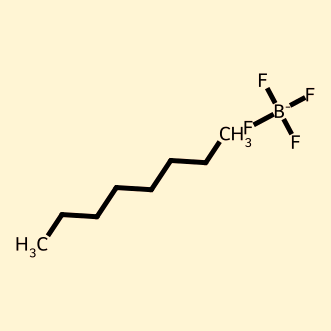 CCCCCCCC.F[B-](F)(F)F